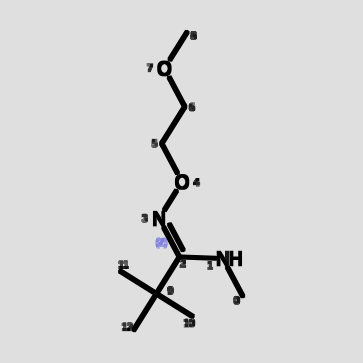 CN/C(=N\OCCOC)C(C)(C)C